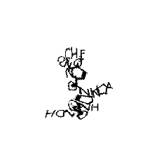 C[C@H]1CN(c2nc(C(=O)Nc3ccc(NS(=O)(=O)CCO)cc3N3CCC4(CC3)CC4)ccc2OCF)CCO1